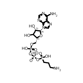 NCCCP(=O)(O)OP(=O)(O)OP(=O)(O)OC[C@H]1O[C@@H](n2cnc3c(N)ncnc32)[C@@H](O)C1O